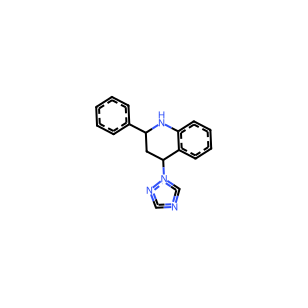 c1ccc(C2CC(n3cncn3)c3ccccc3N2)cc1